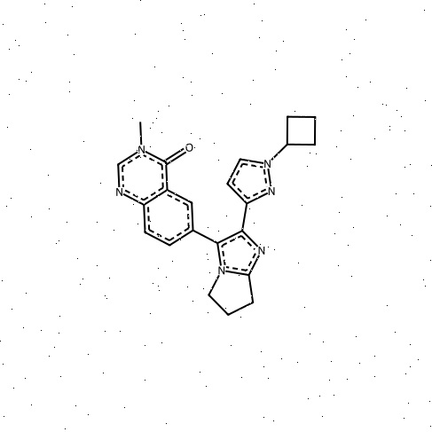 Cn1cnc2ccc(-c3c(-c4ccn(C5CCC5)n4)nc4n3CCC4)cc2c1=O